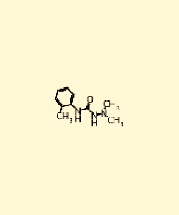 Cc1ccccc1NC(=O)NN(C)C